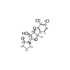 CC1(c2ccc(Cl)c(Cl)c2)OC(N2CCCC2=O)=C(O)C1=O